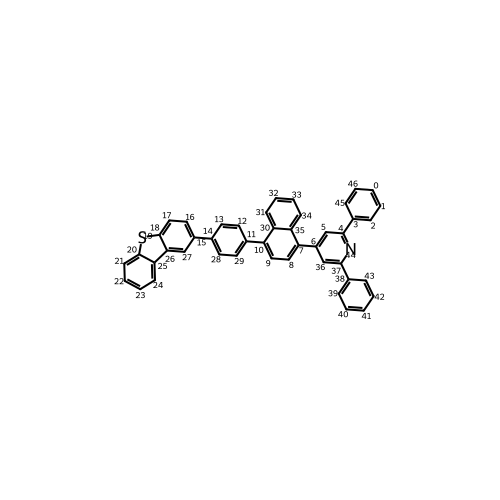 c1ccc(-c2cc(-c3ccc(-c4ccc(-c5ccc6sc7ccccc7c6c5)cc4)c4ccccc34)cc(-c3ccccc3)n2)cc1